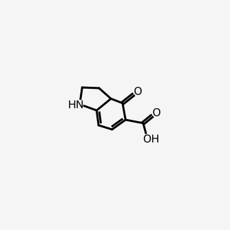 O=C(O)C1=CC=C2NCCC2C1=O